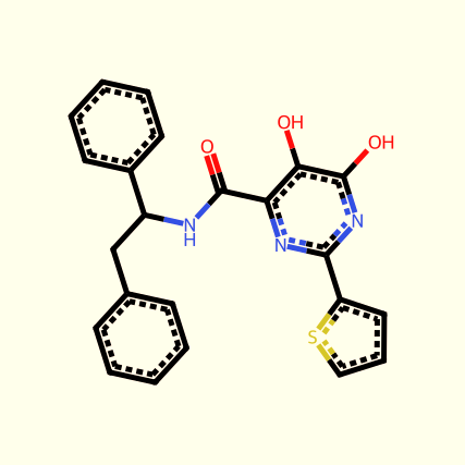 O=C(NC(Cc1ccccc1)c1ccccc1)c1nc(-c2cccs2)nc(O)c1O